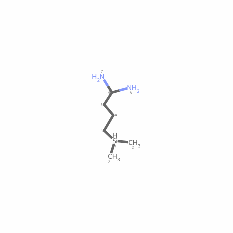 C[SiH](C)CCCC(N)N